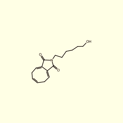 O=C1C2=C/C/C=C\C/C=C\2C(=O)N1CCCCCCO